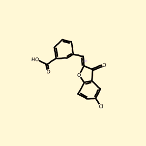 O=C(O)c1cccc(/C=C2\Oc3ccc(Cl)cc3C2=O)c1